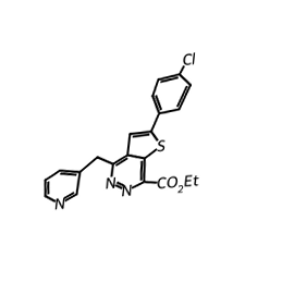 CCOC(=O)c1nnc(Cc2cccnc2)c2cc(-c3ccc(Cl)cc3)sc12